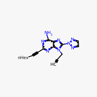 C#CCn1c(-n2nccn2)nc2c(N)nc(C#CCCCCCC)nc21